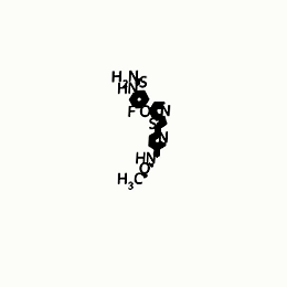 CCOCNCc1ccc(-c2cc3nccc(Oc4ccc(NC(N)=S)cc4F)c3s2)nc1